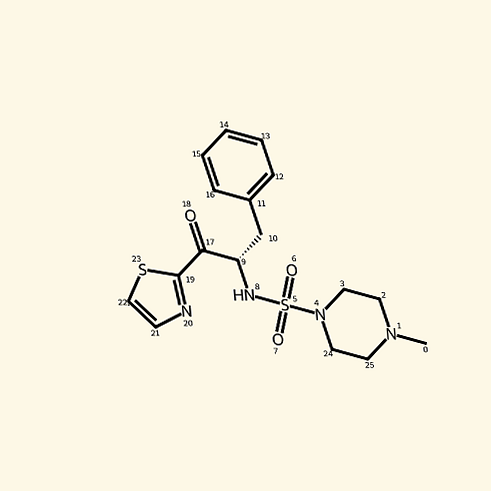 CN1CCN(S(=O)(=O)N[C@@H](Cc2ccccc2)C(=O)c2nc[c]s2)CC1